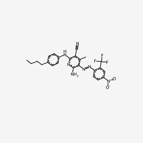 CCCCc1ccc(Nc2nc(N)c(/N=N/c3ccc([N+](=O)[O-])cc3C(F)(F)F)c(C)c2C#N)cc1